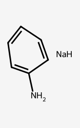 Nc1ccccc1.[NaH]